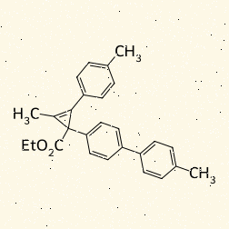 CCOC(=O)C1(c2ccc(-c3ccc(C)cc3)cc2)C(C)=C1c1ccc(C)cc1